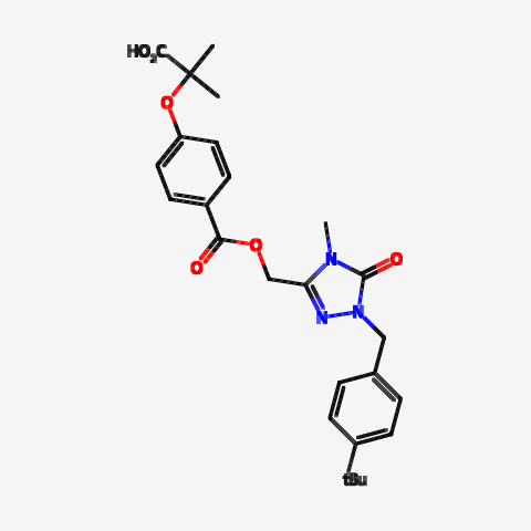 Cn1c(COC(=O)c2ccc(OC(C)(C)C(=O)O)cc2)nn(Cc2ccc(C(C)(C)C)cc2)c1=O